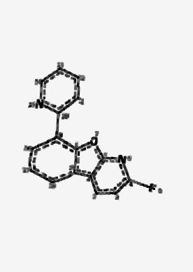 Fc1ccc2c(n1)oc1c(-c3ccccn3)cccc12